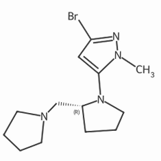 Cn1nc(Br)cc1N1CCC[C@@H]1CN1CCCC1